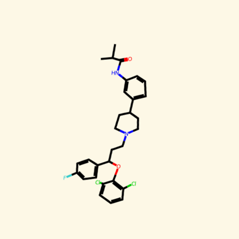 CC(C)C(=O)Nc1cccc(C2CCN(CCC(Oc3c(Cl)cccc3Cl)c3ccc(F)cc3)CC2)c1